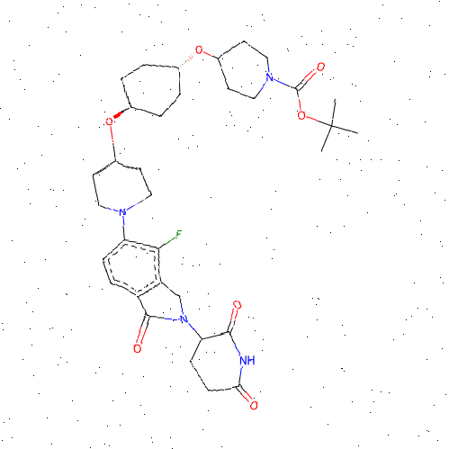 CC(C)(C)OC(=O)N1CCC(O[C@H]2CC[C@H](OC3CCN(c4ccc5c(c4F)CN(C4CCC(=O)NC4=O)C5=O)CC3)CC2)CC1